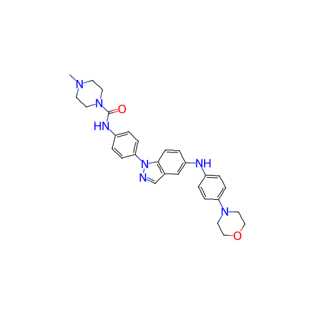 CN1CCN(C(=O)Nc2ccc(-n3ncc4cc(Nc5ccc(N6CCOCC6)cc5)ccc43)cc2)CC1